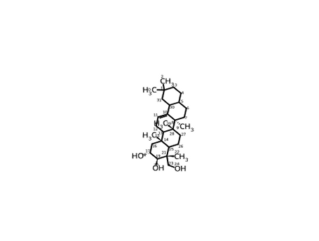 CC1(C)CCC2CC[C@]3(C)C(=CCC4[C@@]5(C)C[C@@H](O)[C@H](O)[C@@](C)(CO)C5CC[C@]43C)C2C1